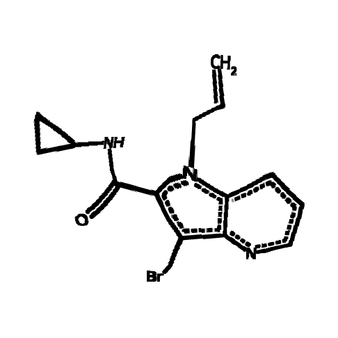 C=CCn1c(C(=O)NC2CC2)c(Br)c2ncccc21